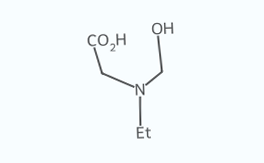 CCN(CO)CC(=O)O